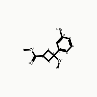 COC(=O)C1CC(OC)(c2cccc(Br)c2)C1